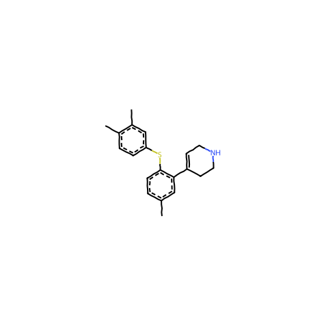 Cc1ccc(Sc2ccc(C)c(C)c2)c(C2=CCNCC2)c1